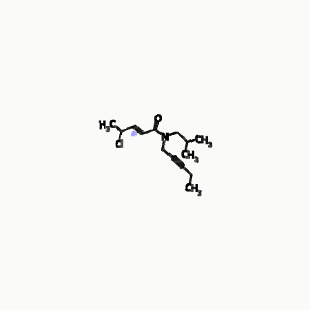 CCC#CCN(CC(C)C)C(=O)/C=C/C(C)Cl